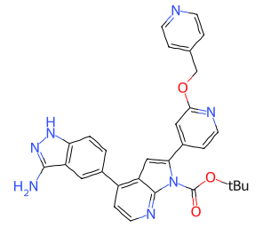 CC(C)(C)OC(=O)n1c(-c2ccnc(OCc3ccncc3)c2)cc2c(-c3ccc4[nH]nc(N)c4c3)ccnc21